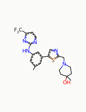 Cc1cc(Nc2nccc(C(F)(F)F)n2)cc(-c2cnc(CN3CCC(C)(O)CC3)s2)c1